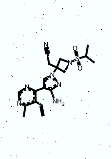 C=Cc1c(C)ncnc1-c1cn(C2(CC#N)CN(S(=O)(=O)C(C)C)C2)nc1N